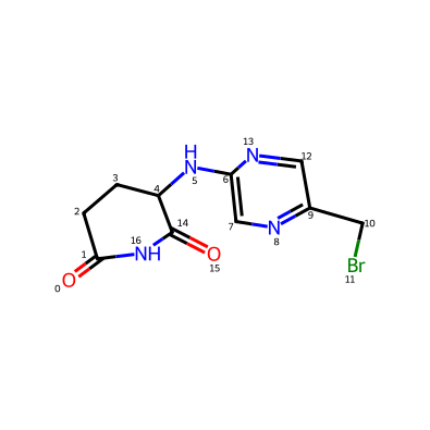 O=C1CCC(Nc2cnc(CBr)cn2)C(=O)N1